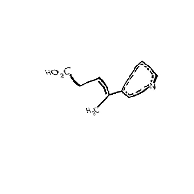 C/C(=C\CC(=O)O)c1cccnc1